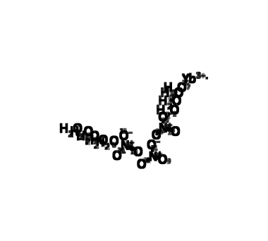 O.O.O.O.O.O.O.O.O.O=[N+]([O-])[O-].O=[N+]([O-])[O-].O=[N+]([O-])[O-].[Yb+3]